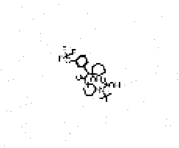 CC(C)(C)N(C(=O)O)[C@@H]1CCCN(C(=O)C(c2cccc(OC(F)(F)F)c2)C2(O)CCCCC2)C1